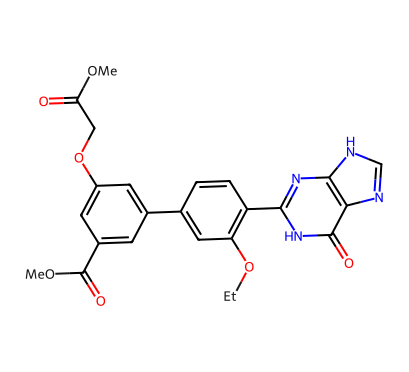 CCOc1cc(-c2cc(OCC(=O)OC)cc(C(=O)OC)c2)ccc1-c1nc2[nH]cnc2c(=O)[nH]1